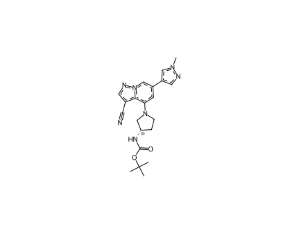 Cn1cc(-c2cc(N3CC[C@H](NC(=O)OC(C)(C)C)C3)c3c(C#N)cnn3c2)cn1